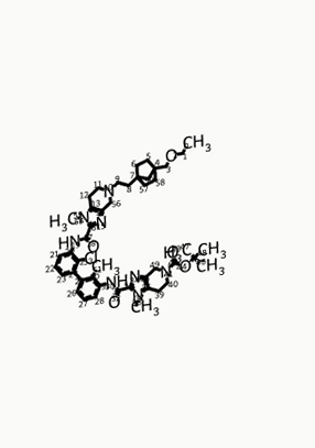 CCOCC12CCC(CCN3CCc4c(nc(C(=O)Nc5cccc(-c6cccc(NC(=O)c7nc8c(n7C)CCN(C(=O)OC(C)(C)C)C8)c6C)c5Cl)n4C)C3)(CC1)C2